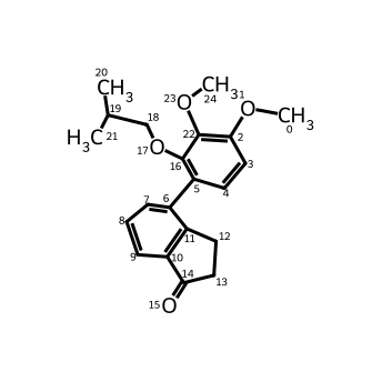 COc1ccc(-c2cccc3c2CCC3=O)c(OCC(C)C)c1OC